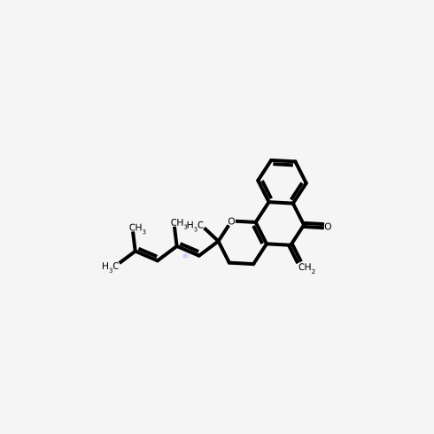 C=C1C(=O)c2ccccc2C2=C1CCC(C)(/C=C(\C)C=C(C)C)O2